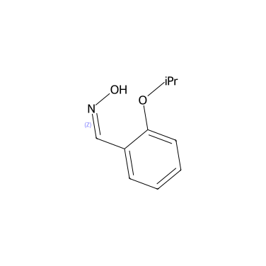 CC(C)Oc1ccccc1/C=N\O